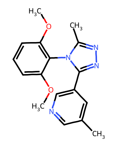 COc1cccc(OC)c1-n1c(C)nnc1-c1cncc(C)c1